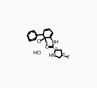 Cl.O=C(NC1=CC=CC(c2ccccc2)C1(F)Cl)[C@@H]1C[C@@H](F)CN1